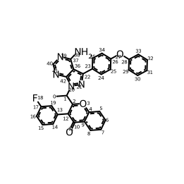 CC(c1oc2ccccc2c(=O)c1-c1cccc(F)c1)n1nc(-c2ccc(Oc3ccccc3)cc2)c2c(N)ncnc21